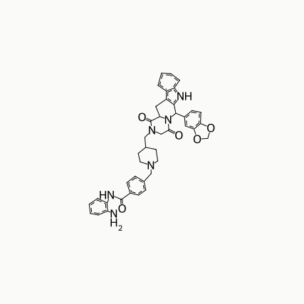 Nc1ccccc1NC(=O)c1ccc(CN2CCC(CN3CC(=O)N4C(Cc5c([nH]c6ccccc56)C4c4ccc5c(c4)OCO5)C3=O)CC2)cc1